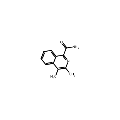 Cc1nc(C(N)=O)c2ccccc2c1C